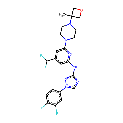 CC1(N2CCN(c3cc(C(F)F)cc(Nc4ncn(-c5ccc(F)c(F)c5)n4)n3)CC2)COC1